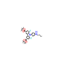 CCCCNc1ccc(-n2c3c(F)cc(B4OC(C)(C)C(C)(C)O4)cc3c3cc(B4OC(C)(C)C(C)(C)O4)cc(F)c32)cc1